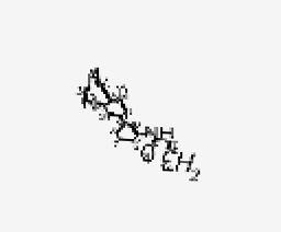 C=CC(=O)Nc1cccc(-c2ccc3cncnc3c2)c1